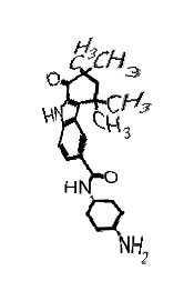 CC1(C)CC(C)(C)c2c([nH]c3ccc(C(=O)N[C@H]4CC[C@H](N)CC4)cc23)C1=O